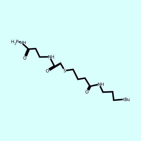 CC(C)(C)CCCNC(=O)CCCSCC(=O)NCCC(=O)NP